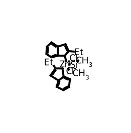 CCC1=Cc2ccccc2[CH]1[Zr]([Cl])([Cl])([CH]1C(CC)=Cc2ccccc21)=[Si](C)C